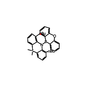 CCCCc1cccc2c1N(B1c3ccccc3Oc3ccccc31)c1c(CCCC)cccc1S2(C)C